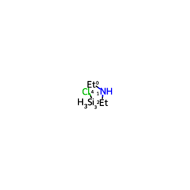 CCNCC.[SiH3]Cl